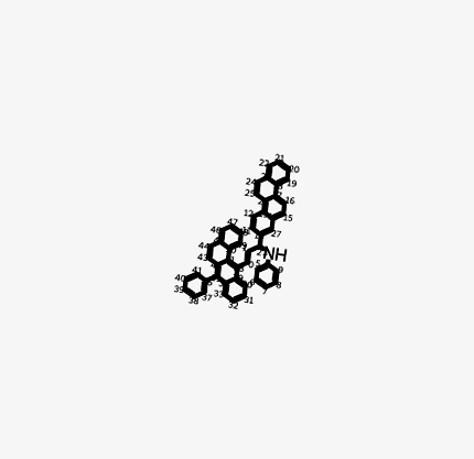 C(=C\C(Nc1ccccc1)c1ccc2c(ccc3c4ccccc4ccc23)c1)/c1c2ccccc2c(-c2ccccc2)c2ccc3ccccc3c12